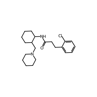 O=C(CCc1ccccc1Cl)NC1CCCCC1CN1CCCCC1